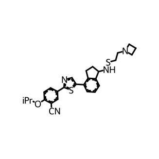 CC(C)Oc1ccc(-c2ncc(-c3cccc4c3CCC4NSCCN3CCC3)s2)cc1C#N